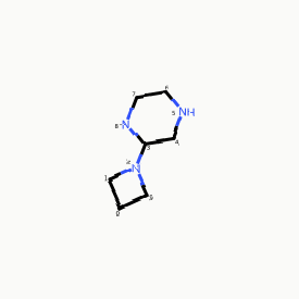 C1CN(C2CNCC[N]2)C1